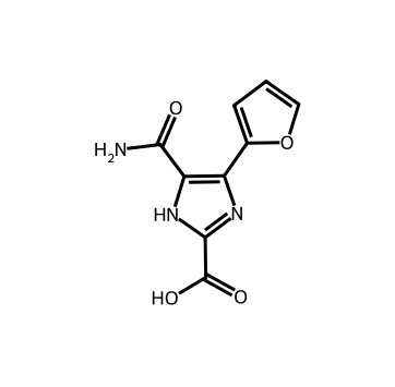 NC(=O)c1[nH]c(C(=O)O)nc1-c1ccco1